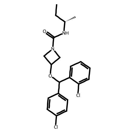 CC[C@H](C)NC(=O)N1CC(OC(c2ccc(Cl)cc2)c2ccccc2Cl)C1